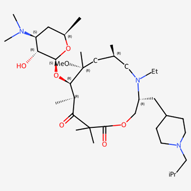 CCN1C[C@H](C)C[C@@](C)(OC)[C@H](O[C@@H]2O[C@H](C)C[C@H](N(C)C)[C@H]2O)[C@@H](C)C(=O)C(C)(C)C(=O)OC[C@H]1CC1CCN(CC(C)C)CC1